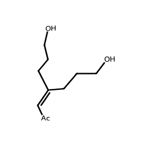 CC(=O)C=C(CCCO)CCCO